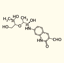 CC(OC(CO)[C@@H](C)O)[C@@H](O)Nc1ccc2cc(C=O)c(=O)[nH]c2c1